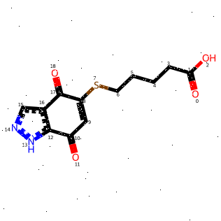 O=C(O)CCCCSC1=CC(=O)c2[nH]ncc2C1=O